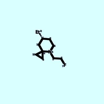 CC[C@@H]1CCN(CCF)C2(CC2)C1